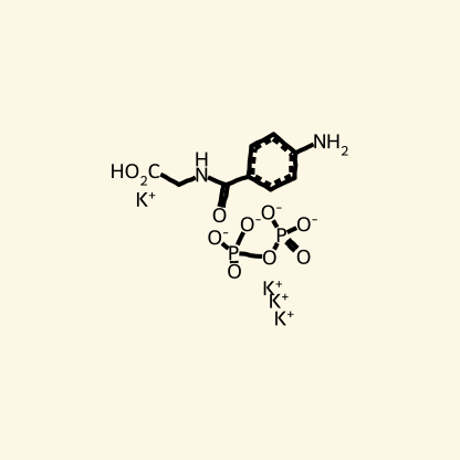 Nc1ccc(C(=O)NCC(=O)O)cc1.O=P([O-])([O-])OP(=O)([O-])[O-].[K+].[K+].[K+].[K+]